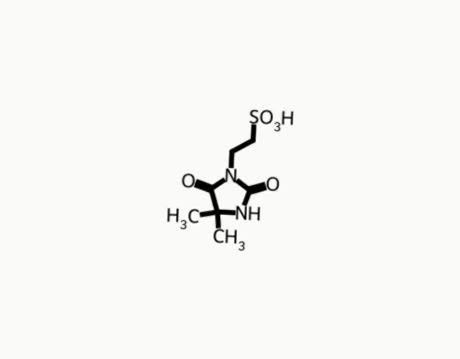 CC1(C)NC(=O)N(CCS(=O)(=O)O)C1=O